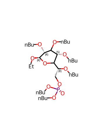 CCCCOC1[C@H](OCCCC)C([C@@H](COP(=O)(OCCCC)OCCCC)OCCCC)O[C@@H](OCC)[C@@H]1OCCCC